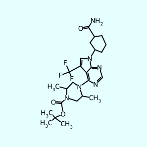 CC1CN(c2ncnc3c2c(C(F)(F)F)cn3C2CCCC(C(N)=O)C2)C(C)CN1C(=O)OC(C)(C)C